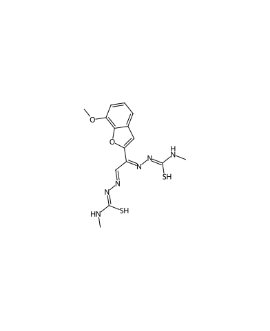 CN/C(S)=N/N=C(/C=N/N=C(\S)NC)c1cc2cccc(OC)c2o1